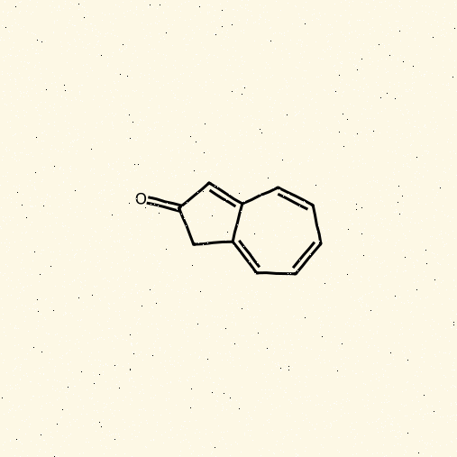 O=C1C=C2C=CC=CC=C2C1